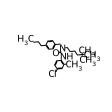 CCCCc1ccc(CN(CCCCC(C)(C)C)C(=O)Nc2ccc(Cl)cc2C)cc1